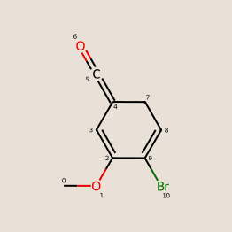 COC1=CC(=C=O)CC=C1Br